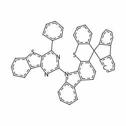 c1ccc(-c2nc(-n3c4ccccc4c4ccc5c(c43)Sc3ccccc3C53c4ccccc4-c4ccccc43)nc3c2sc2ccccc23)cc1